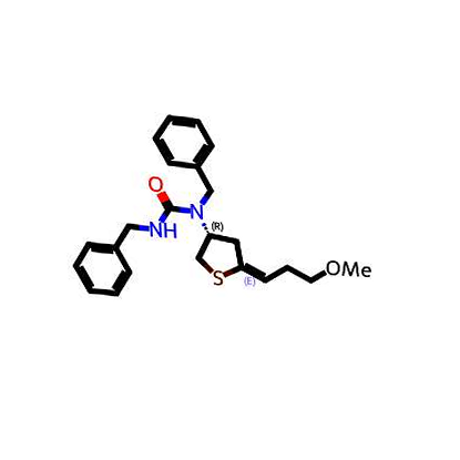 COCC/C=C1\C[C@@H](N(Cc2ccccc2)C(=O)NCc2ccccc2)CS1